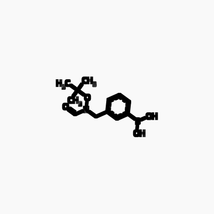 CC(C)(C)ON(C=O)Cc1cccc(B(O)O)c1